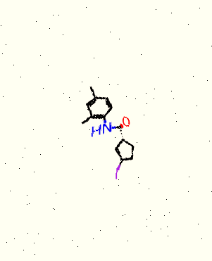 Cc1ccc(NC(=O)[C@@H]2CCC(I)C2)c(C)c1